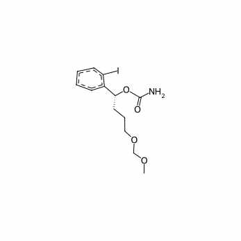 COCOCCC[C@@H](OC(N)=O)c1ccccc1I